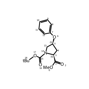 COC(=O)[C@@H]1C[C@H](Oc2ccccc2)CN1C(=O)OC(C)(C)C